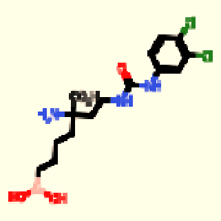 NC(CCCCB(O)O)(CCNC(=O)Nc1ccc(Cl)c(Cl)c1)C(=O)O